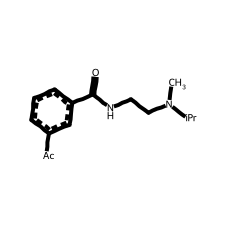 CC(=O)c1cccc(C(=O)NCCN(C)C(C)C)c1